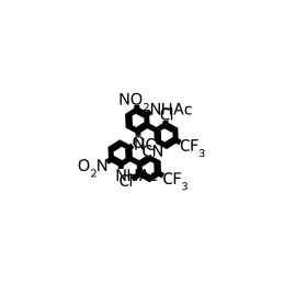 CC(=O)Nc1c([N+](=O)[O-])ccc(Oc2ccc([N+](=O)[O-])c(NC(C)=O)c2-c2c(Cl)cc(C(F)(F)F)cc2C#N)c1-c1c(Cl)cc(C(F)(F)F)cc1C#N